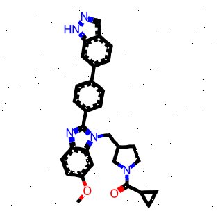 COc1ccc2nc(-c3ccc(-c4ccc5cn[nH]c5c4)cc3)n(CC3CCN(C(=O)C4CC4)C3)c2c1